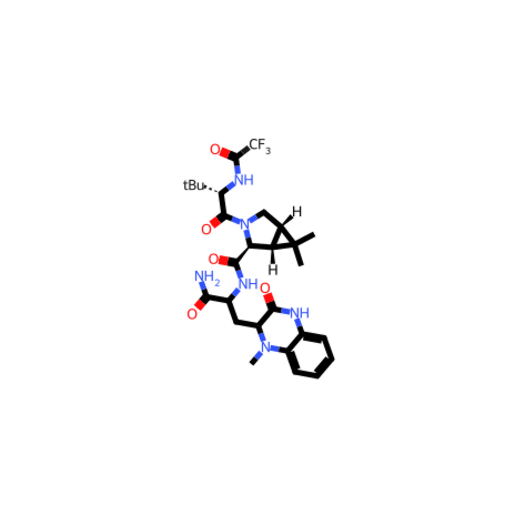 CN1c2ccccc2NC(=O)C1CC(NC(=O)[C@@H]1[C@@H]2[C@H](CN1C(=O)[C@@H](NC(=O)C(F)(F)F)C(C)(C)C)C2(C)C)C(N)=O